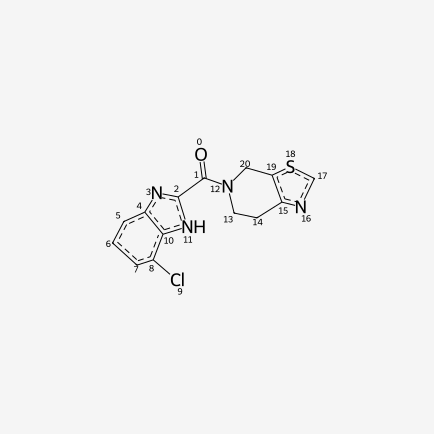 O=C(c1nc2cccc(Cl)c2[nH]1)N1CCc2ncsc2C1